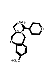 COC[C@@H]1COc2cc(C(=O)O)ccc2CN1C(=O)C1CCOCC1